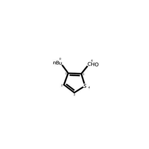 CCCCc1ccsc1C=O